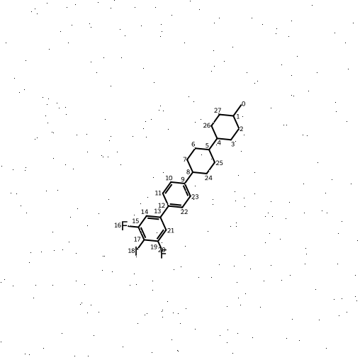 CC1CCC(C2CCC(c3ccc(-c4cc(F)c(I)c(F)c4)cc3)CC2)CC1